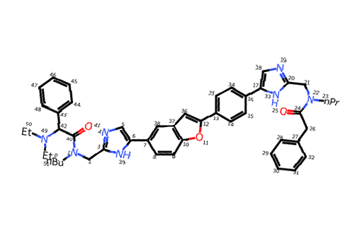 CCCCN(Cc1ncc(-c2ccc3oc(-c4ccc(-c5cnc(CN(CCC)C(=O)Cc6ccccc6)[nH]5)cc4)cc3c2)[nH]1)C(=O)C(c1ccccc1)N(CC)CC